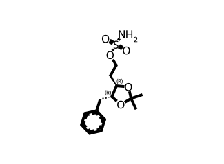 CC1(C)O[C@H](CCOS(N)(=O)=O)[C@@H](Cc2ccccc2)O1